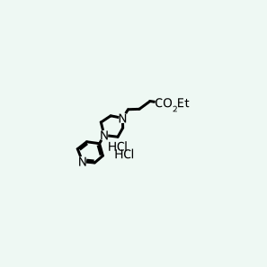 CCOC(=O)CCCN1CCN(c2ccncc2)CC1.Cl.Cl